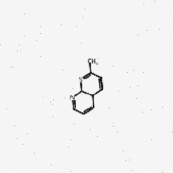 CC1=NC2N=CC=CC2C=C1